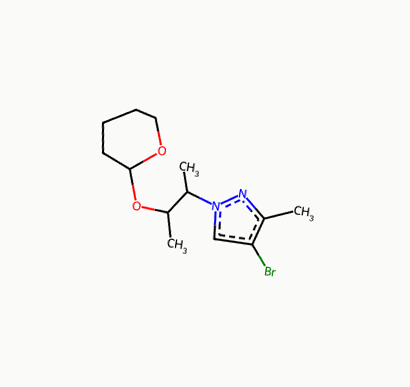 Cc1nn(C(C)C(C)OC2CCCCO2)cc1Br